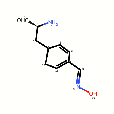 N[C@H](C=O)CC1C=CC(/C=N/O)=CC1